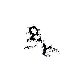 Cl.NC/C(=C\F)COc1nc2ccccc2c(=O)[nH]1